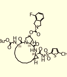 Cc1ccc(S(=O)(=O)NC(=O)[C@@]23C[C@H]2CCCCCCC[C@H](NC(=O)OC(C)(C)C)C(=O)N2C[C@H](OC(=O)N4Cc5cccc(F)c5C4)C[C@H]2C(=O)N3)s1